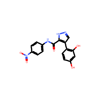 O=C(Nc1ccc([N+](=O)[O-])cc1)c1[nH]ncc1-c1ccc(O)cc1O